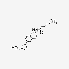 CCCCCC(=O)NC1CCc2cc(C3CCC(CO)C3)ccc2C1